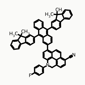 CC1(C)c2ccccc2-c2ccc(-c3c4ccccc4c(-c4ccc5c(c4)C(C)(C)c4ccccc4-5)c4cc(-c5ccc6c7c5ccc5c(C#N)ccc(c57)CN6c5ccc(F)cc5)ccc34)cc21